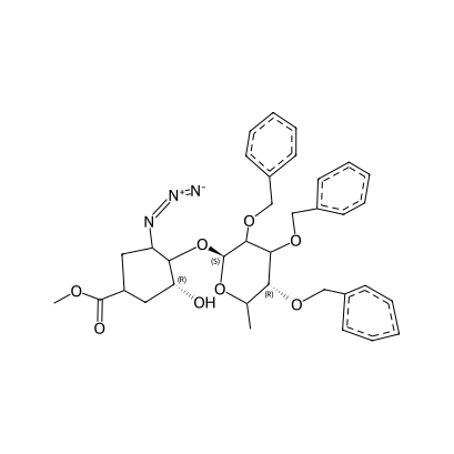 COC(=O)C1CC(N=[N+]=[N-])C(O[C@@H]2OC(C)[C@@H](OCc3ccccc3)C(OCc3ccccc3)C2OCc2ccccc2)[C@H](O)C1